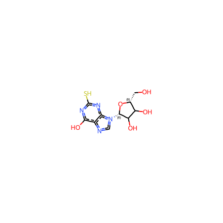 OC[C@H]1O[C@@H](n2cnc3c(O)nc(S)nc32)C(O)C1O